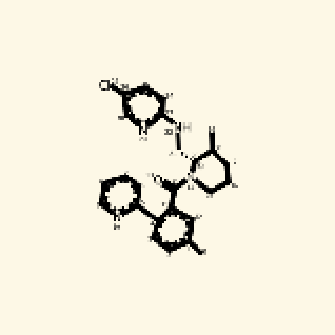 Cc1ccc(-c2ccccn2)c(C(=O)N2CCCC(C)[C@H]2CNc2ccc(Cl)cn2)c1